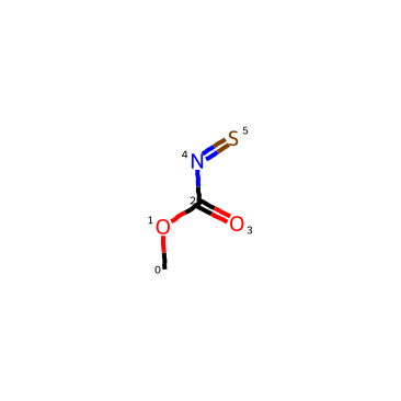 COC(=O)N=S